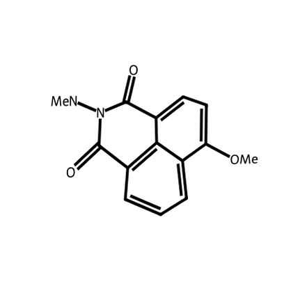 CNN1C(=O)c2cccc3c(OC)ccc(c23)C1=O